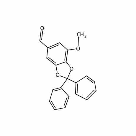 COc1cc(C=O)cc2c1OC(c1ccccc1)(c1ccccc1)O2